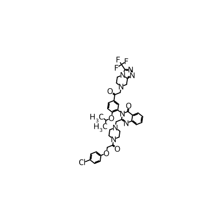 CC(C)Oc1ccc(C(=O)CN2CCn3c(nnc3C(F)(F)F)C2)cc1-n1c(CN2CCN(C(=O)COc3ccc(Cl)cc3)CC2)nc2ccccc2c1=O